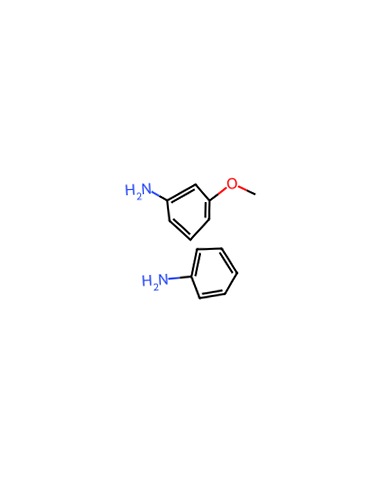 COc1cccc(N)c1.Nc1ccccc1